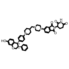 O=C1CCC(N2C(=O)c3ccc(N4CCN(CC5CCN(c6ccc([C@@H]7c8ccc(O)cc8OC[C@@H]7c7ccccc7)cc6)CC5)CC4)cc3C2=O)C(=O)N1